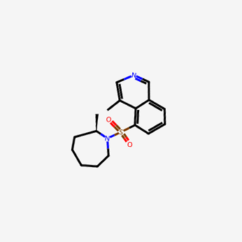 Cc1cncc2cccc(S(=O)(=O)N3CCCCC[C@H]3C)c12